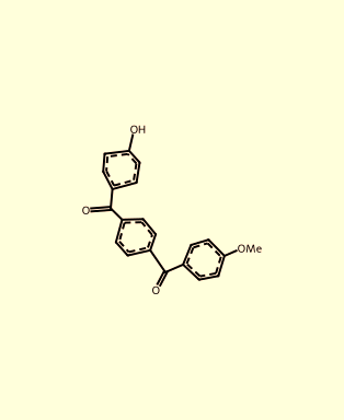 COc1ccc(C(=O)c2ccc(C(=O)c3ccc(O)cc3)cc2)cc1